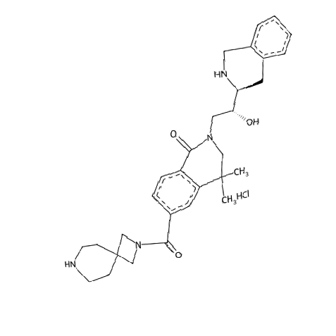 CC1(C)CN(C[C@@H](O)[C@@H]2Cc3ccccc3CN2)C(=O)c2ccc(C(=O)N3CC4(CCNCC4)C3)cc21.Cl